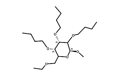 CCCCOC1[C@@H](OC)OC(COCC)[C@H](OCCCC)[C@@H]1OCCCC